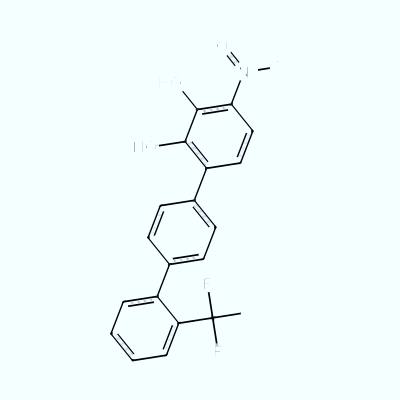 O=[N+]([O-])c1ccc(-c2ccc(-c3ccccc3C(F)(F)F)cc2)c(O)c1O